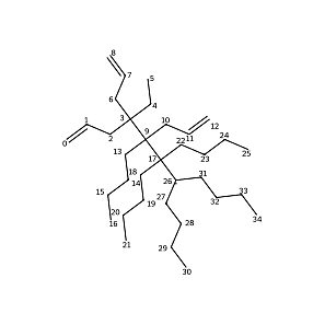 C=CCC(CC)(CC=C)C(CC=C)(CCCC)C(CCCC)(CCCC)[C](CCCC)CCCC